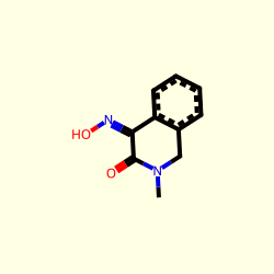 CN1Cc2ccccc2/C(=N/O)C1=O